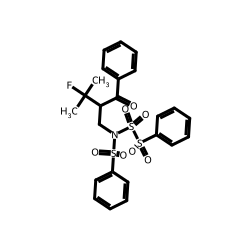 CC(C)(F)C(CN(S(=O)(=O)c1ccccc1)S(=O)(=O)S(=O)(=O)c1ccccc1)C(=O)c1ccccc1